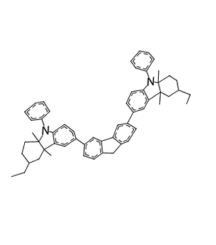 CCC1CCC2(C)N(c3ccccc3)c3ccc(-c4ccc5c(c4)-c4cc(-c6ccc7c(c6)C6(C)CC(CC)CCC6(C)N7c6ccccc6)ccc4C5)cc3C2(C)C1